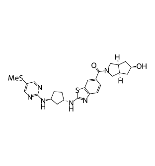 CSc1cnc(N[C@H]2CC[C@H](Nc3nc4ccc(C(=O)N5C[C@H]6C[C@@H](O)C[C@H]6C5)cc4s3)C2)nc1